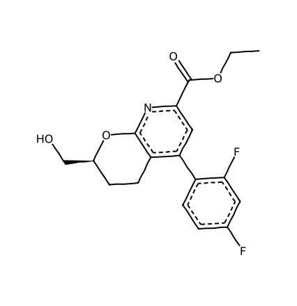 CCOC(=O)c1cc(-c2ccc(F)cc2F)c2c(n1)O[C@H](CO)CC2